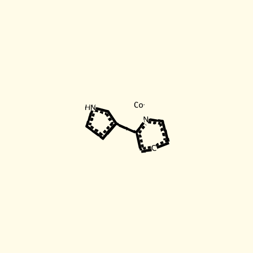 [Co].c1ccc(-c2cc[nH]c2)nc1